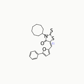 O=C1/C(=C\c2ccc(-c3ccccc3)o2)SC(=S)N1C1CCCCCCC1